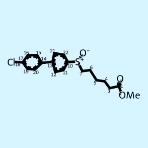 COC(=O)CCCCC[S+]([O-])c1ccc(-c2ccc(Cl)cc2)cc1